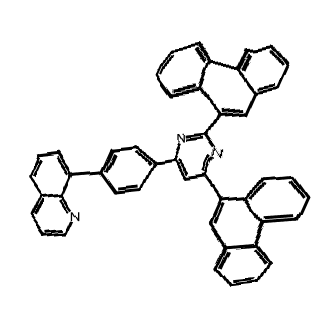 c1cnc2c(-c3ccc(-c4cc(-c5cc6ccccc6c6ccccc56)nc(-c5cc6ccccc6c6ccccc56)n4)cc3)cccc2c1